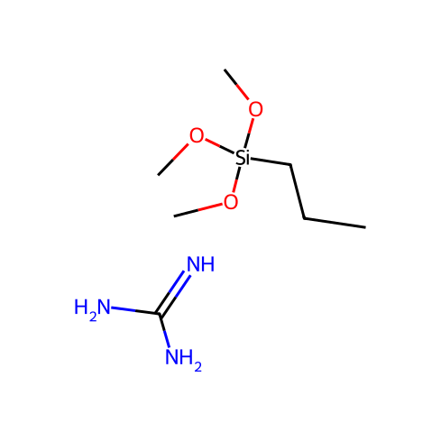 CCC[Si](OC)(OC)OC.N=C(N)N